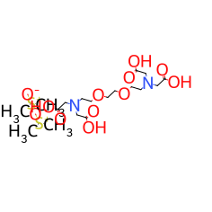 C[S+](C)[O-].C[S+](C)[O-].O=C(O)CN(CCOCCOCCN(CC(=O)O)CC(=O)O)CC(=O)O